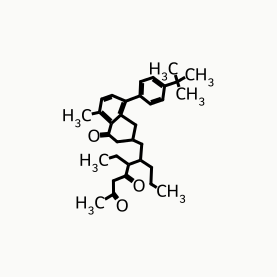 CCCC(CC1CC(=O)c2c(C)ccc(-c3ccc(C(C)(C)C)cc3)c2C1)C(CC)C(=O)CC(C)=O